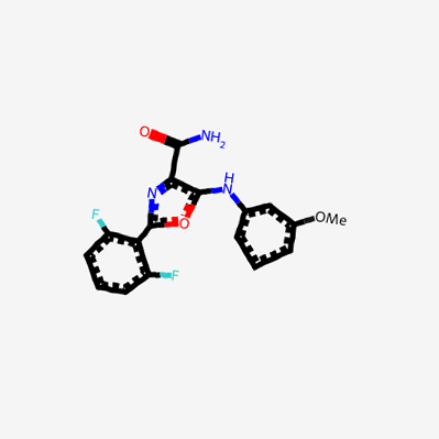 COc1cccc(Nc2oc(-c3c(F)cccc3F)nc2C(N)=O)c1